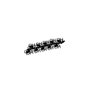 CC#CCC(CCC(CCC(CCC(CCC(CCC(CCC(CCC(CCC(CCC(C)C(=O)C(=O)O)C(=O)C(=O)O)C(=O)C(=O)O)C(=O)C(=O)O)C(=O)C(=O)O)C(=O)C(=O)O)C(=O)C(=O)O)C(=O)C(=O)O)C(=O)C(=O)O)C(=O)C(=O)O